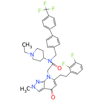 CCN1CCC(N(Cc2ccc(-c3ccc(C(F)(F)F)cc3)cc2)C(=O)Cn2c(CCc3cccc(F)c3F)cc(=O)c3cn(C)nc32)CC1